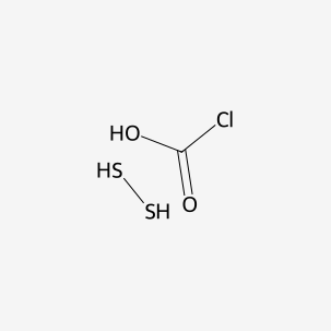 O=C(O)Cl.SS